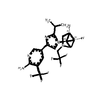 CC(C)c1nc(-c2cnc(N)c(C(F)(F)F)c2)cn1[C@]12C3[C@@H]1[C@@H]2CN3CC(F)(F)F